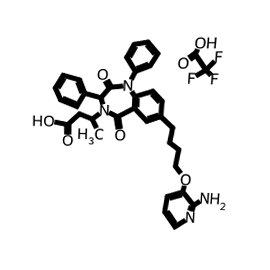 CC(CC(=O)O)N1C(=O)c2cc(CCCCOc3cccnc3N)ccc2N(c2ccccc2)C(=O)C1c1ccccc1.O=C(O)C(F)(F)F